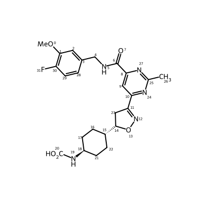 COc1cc(CNC(=O)c2cc(C3=NOC([C@H]4CC[C@H](NC(=O)O)CC4)C3)nc(C)n2)ccc1F